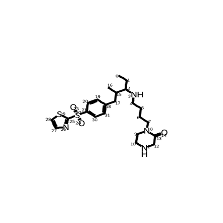 CCC(NCCCCN1CCNCC1=O)C(C)Cc1ccc(S(=O)(=O)c2nccs2)cc1